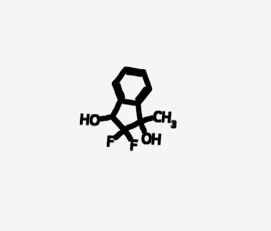 CC1(O)c2ccccc2C(O)C1(F)F